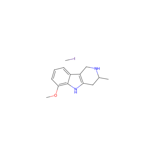 CI.COc1cccc2c3c([nH]c12)CC(C)NC3